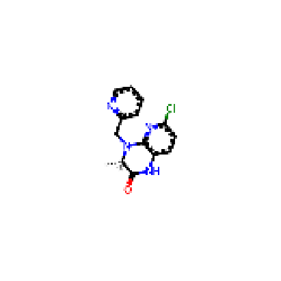 C[C@H]1C(=O)Nc2ccc(Cl)nc2N1Cc1ccccn1